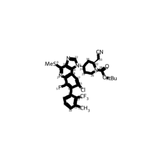 CSc1nc2c(F)c(-c3cccc(C)c3C(F)(F)F)c(Cl)cc2c2c1ncn2[C@H]1CCN(C(=O)OC(C)(C)C)[C@H](CC#N)C1